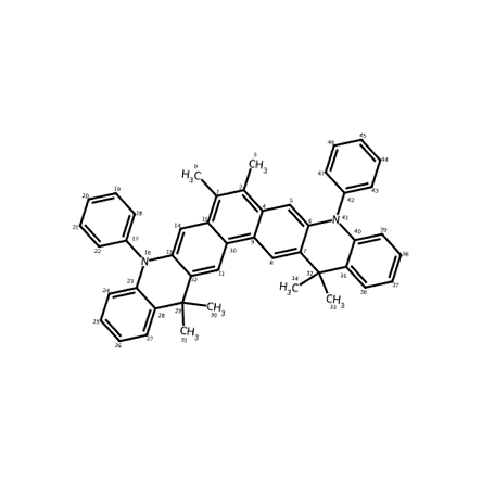 Cc1c(C)c2cc3c(cc2c2cc4c(cc12)N(c1ccccc1)c1ccccc1C4(C)C)C(C)(C)c1ccccc1N3c1ccccc1